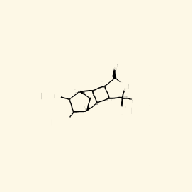 CC1C(C)C2CC1C1C3C(=O)OC(C)(C)C3C21